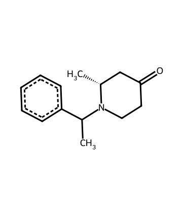 CC(c1ccccc1)N1CCC(=O)C[C@H]1C